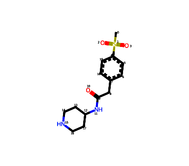 CS(=O)(=O)c1ccc(CC(=O)NC2CCNCC2)cc1